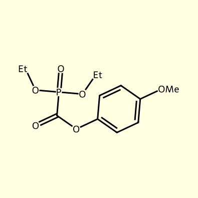 CCOP(=O)(OCC)C(=O)Oc1ccc(OC)cc1